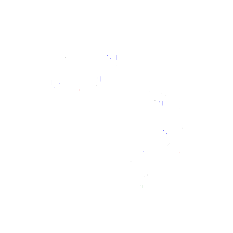 NC(=O)c1cccc2[nH]c(-c3ccc(C(=O)N4CCN(C(=O)c5cc(Br)c[nH]5)CC4)cc3)nc12